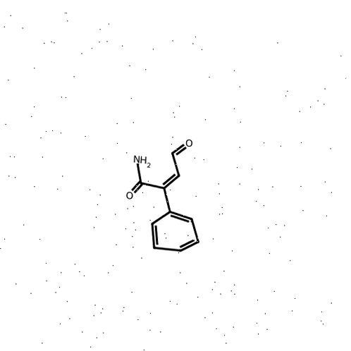 NC(=O)C(=CC=O)c1ccccc1